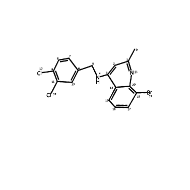 Cc1cc(NCc2ccc(Cl)c(Cl)c2)c2cccc(Br)c2n1